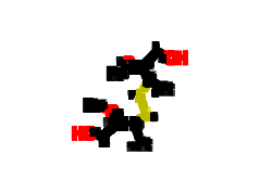 CCO[SiH](CO)C(CC)SSC(CC)[SiH](CO)OCC